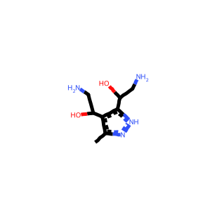 Cc1n[nH]c(C(O)CN)c1C(O)CN